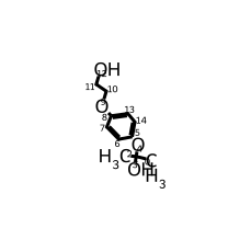 CC(C)(O)Oc1ccc(OCCO)cc1